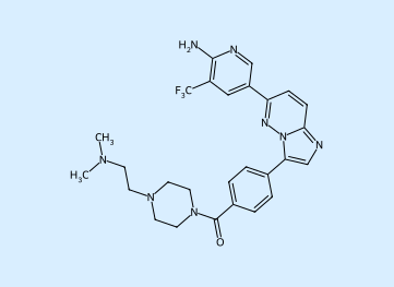 CN(C)CCN1CCN(C(=O)c2ccc(-c3cnc4ccc(-c5cnc(N)c(C(F)(F)F)c5)nn34)cc2)CC1